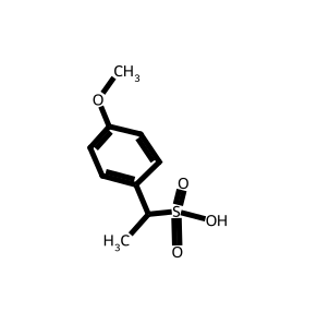 COc1ccc(C(C)S(=O)(=O)O)cc1